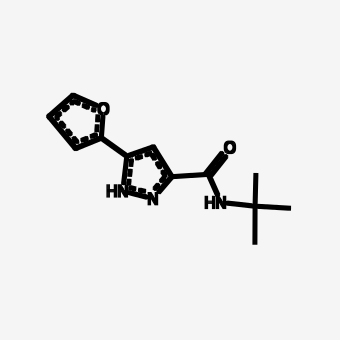 CC(C)(C)NC(=O)c1cc(-c2ccco2)[nH]n1